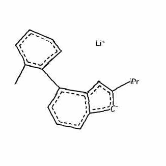 Cc1ccccc1-c1cccc2[cH-]c(C(C)C)cc12.[Li+]